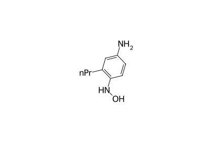 CCCc1cc(N)ccc1NO